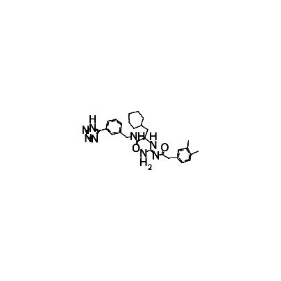 Cc1ccc(CC(=O)N=C(N)NC(CC2CCCCC2)C(=O)NCc2cccc(-c3nnn[nH]3)c2)cc1C